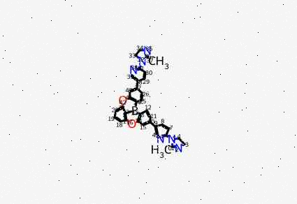 CC1=NCCN1c1ccc(-c2ccc3c(c2)Oc2cccc4c2B3c2ccc(-c3ccc(N5CCN=C5C)nc3)cc2O4)cn1